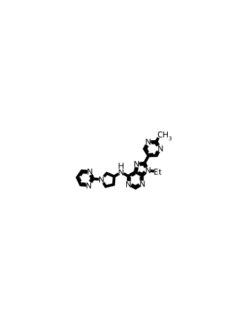 CCn1c(-c2cnc(C)nc2)nc2c(NC3CCN(c4ncccn4)C3)ncnc21